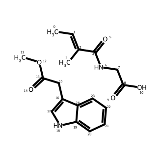 C/C=C(\C)C(=O)NCC(=O)O.COC(=O)Cc1c[nH]c2ccccc12